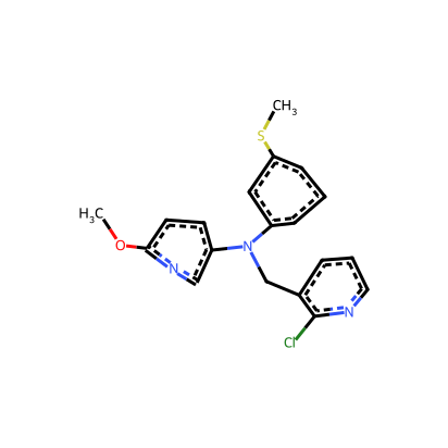 COc1ccc(N(Cc2cccnc2Cl)c2cccc(SC)c2)cn1